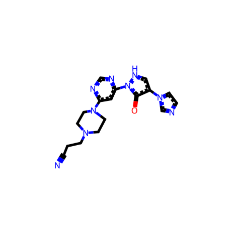 N#CCCN1CCN(c2cc(-n3[nH]cc(-n4ccnc4)c3=O)ncn2)CC1